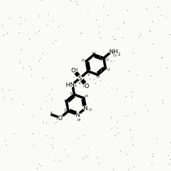 COc1cc(NS(=O)(=O)c2ccc(N)cc2)cnn1